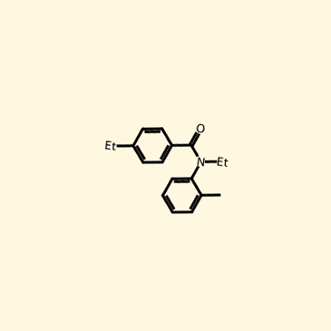 CCc1ccc(C(=O)N(CC)c2ccccc2C)cc1